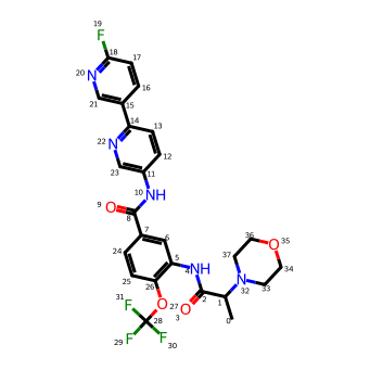 CC(C(=O)Nc1cc(C(=O)Nc2ccc(-c3ccc(F)nc3)nc2)ccc1OC(F)(F)F)N1CCOCC1